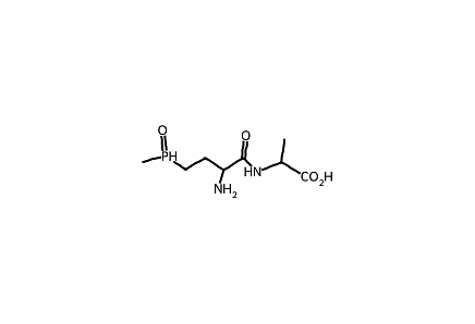 CC(NC(=O)C(N)CC[PH](C)=O)C(=O)O